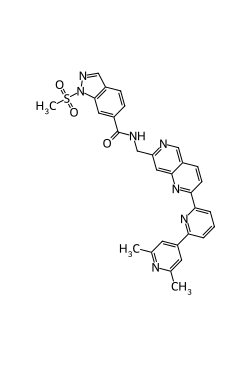 Cc1cc(-c2cccc(-c3ccc4cnc(CNC(=O)c5ccc6cnn(S(C)(=O)=O)c6c5)cc4n3)n2)cc(C)n1